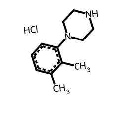 Cc1cccc(N2CCNCC2)c1C.Cl